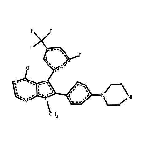 Cn1c(-c2ccc(N3CCNCC3)cc2)c(-c2cc(F)cc(C(F)(F)F)c2)c2c(Cl)ccnc21